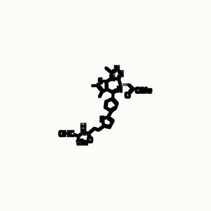 COC(=O)C[C@@H]1N=C(c2ccc(-c3ccc(CCC(=O)NC(C=O)C(C)(C)C)s3)cc2)c2c(sc(C)c2C)-n2c(C)nnc21